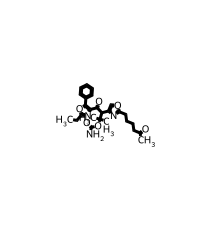 CCc1nc(C(=O)C(c2coc(CCCCC(C)=O)n2)C(C)(C)OC(N)=O)c(-c2ccccc2)o1